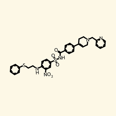 O=C(NS(=O)(=O)c1ccc(NCCSc2ccccc2)c([N+](=O)[O-])c1)c1ccc(C2=CCN(Cc3ccccn3)CC2)cc1